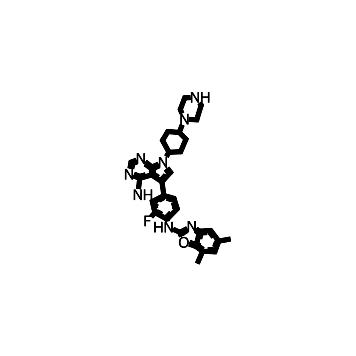 Cc1cc(C)c2oc(Nc3ccc(-c4cn(C5CCC(N6CCNCC6)CC5)c5ncnc(N)c45)cc3F)nc2c1